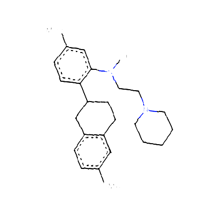 CCN(CCN1CCCCC1)c1cc(OC)ccc1C1CCc2cc(OC)ccc2C1